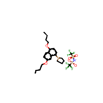 CCCCOc1ccc2c(OCCCC)ccc([S+]3CCCC3)c2c1.O=S(=O)([N-]S(=O)(=O)C(F)(F)F)C(F)(F)F